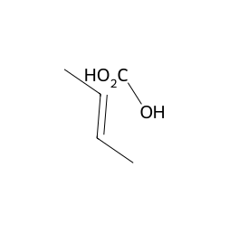 CC=CC.O=C(O)O